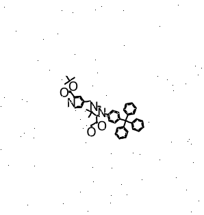 CC(C)(C)OC(=O)c1cc(CN2CN(c3ccc(C(c4ccccc4)(c4ccccc4)c4ccccc4)cc3)C(C(=O)C=O)C2(C)C)ccn1